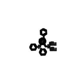 CC(C)(C)P(C[C]12[CH]3[C]4(c5ccccc5)[CH]5[C]1(P(c1ccccc1)c1ccccc1)[Fe]35421678[CH]2[CH]1[CH]6[CH]7[CH]28)C(C)(C)C